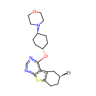 CC[C@H]1CCc2sc3ncnc(O[C@H]4CC[C@H](N5CCOCC5)CC4)c3c2C1